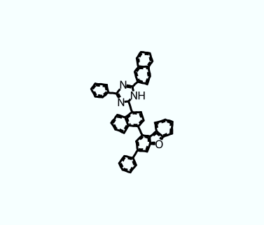 c1ccc(C2=NC(c3ccc(-c4cc(-c5ccccc5)cc5oc6ccccc6c45)c4ccccc34)NC(c3ccc4ccccc4c3)=N2)cc1